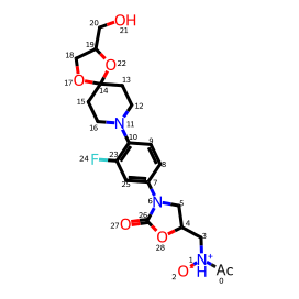 CC(=O)[NH+]([O-])CC1CN(c2ccc(N3CCC4(CC3)OCC(CO)O4)c(F)c2)C(=O)O1